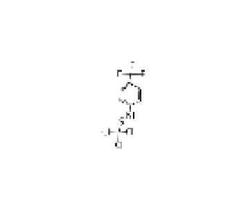 FC(F)(F)c1ccc(NSC(Cl)(Cl)Cl)cc1